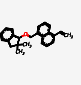 C=Cc1cccc2c(COC3c4ccccc4CC3(C)C)cccc12